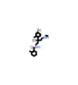 C=CNCCC(CC)(CCNC(=O)C1=C(C)CCCC1)c1ccc(C(C)=O)cc1C